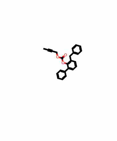 CC#CCOC(=O)Oc1c(Cc2ccccc2)cccc1-c1ccccc1